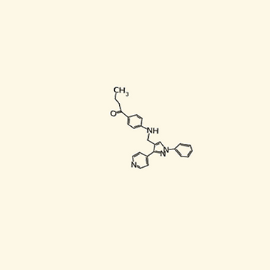 CCCC(=O)c1ccc(NCc2cn(-c3ccccc3)nc2-c2ccncc2)cc1